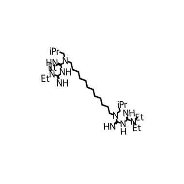 CCN(CC)C(=N)NC(=N)N(CCCCCCCCCCCCN(CC(C)C)C(=N)NC(=N)N(CC)CC)CC(C)C